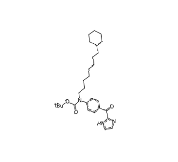 CC(C)(C)OC(=O)N(CCCCCCCCC1CCCCC1)c1ccc(C(=O)c2ncc[nH]2)cc1